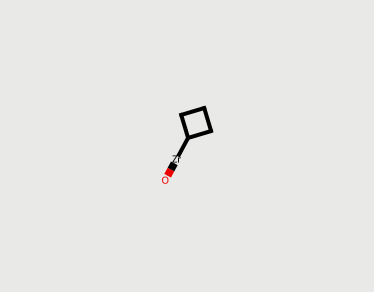 [O]=[Zr][CH]1CCC1